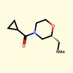 CNC[C@@H]1CN(C(=O)C2CC2)CCO1